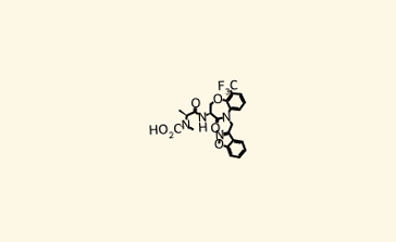 C[C@@H](C(=O)N[C@H]1COc2c(cccc2C(F)(F)F)N(Cc2noc3ccccc23)C1=O)N(C)C(=O)O